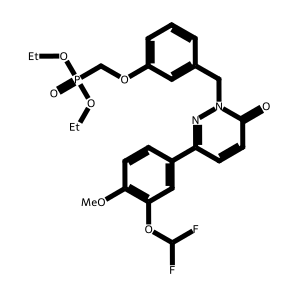 CCOP(=O)(COc1cccc(Cn2nc(-c3ccc(OC)c(OC(F)F)c3)ccc2=O)c1)OCC